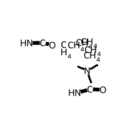 C.C.C.C.C.C.CN(C)C.N=C=O.N=C=O